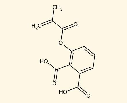 C=C(C)C(=O)Oc1cccc(C(=O)O)c1C(=O)O